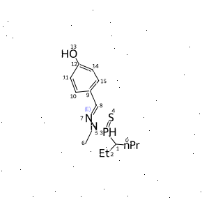 CCCC(CC)[PH](=S)N(C)/N=C/c1ccc(O)cc1